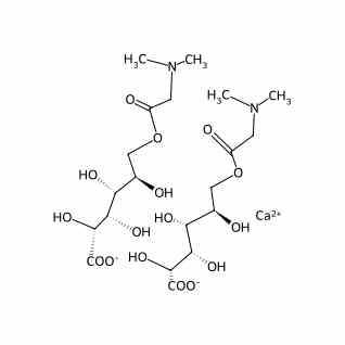 CN(C)CC(=O)OC[C@@H](O)[C@@H](O)[C@H](O)[C@@H](O)C(=O)[O-].CN(C)CC(=O)OC[C@@H](O)[C@@H](O)[C@H](O)[C@@H](O)C(=O)[O-].[Ca+2]